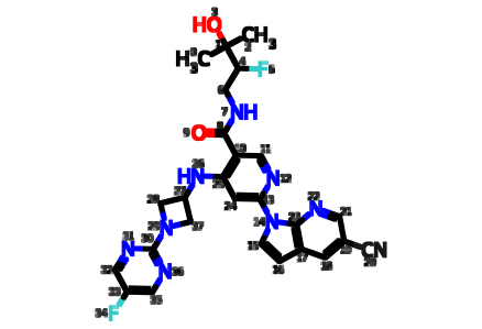 CC(C)(O)C(F)CNC(=O)c1cnc(-n2ccc3cc(C#N)cnc32)cc1NC1CN(c2ncc(F)cn2)C1